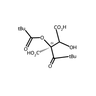 CC(C)(C)C(=O)O[C@](C(=O)O)(C(=O)C(C)(C)C)C(O)C(=O)O